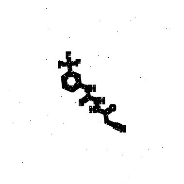 N#CCC(=O)NNC(=S)Nc1cccc(C(F)(F)F)c1